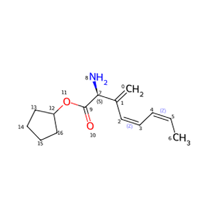 C=C(/C=C\C=C/C)[C@H](N)C(=O)OC1CCCC1